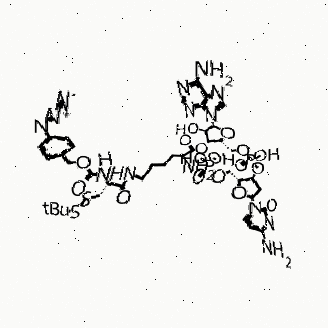 CC(C)(C)SSC[C@H](NC(=O)OCc1ccc(N=[N+]=[N-])cc1)C(=O)NCCCC[C@H](N)C(=O)O[C@H]1[C@@H](O)[C@H](n2cnc3c(N)ncnc32)O[C@@H]1COP(=O)(O)O[C@H]1C[C@H](n2ccc(N)nc2=O)O[C@@H]1COP(=O)(O)O